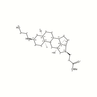 COC(=O)CC[C@H]1C[C@H]2CC3C(CC[C@@H]4C[C@H](NCCO)CC[C@]34C)C3CCC1[C@]32C